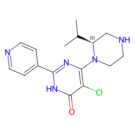 CC(C)[C@H]1CNCCN1c1nc(-c2ccncc2)[nH]c(=O)c1Cl